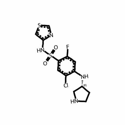 O=S(=O)(Nc1cscn1)c1cc(Cl)c(N[C@@H]2CCNC2)cc1F